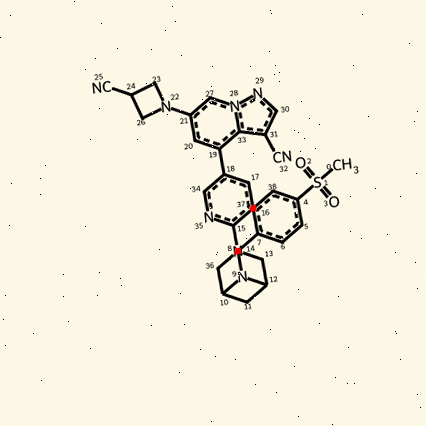 CS(=O)(=O)c1ccc(CN2C3CC2CN(c2ccc(-c4cc(N5CC(C#N)C5)cn5ncc(C#N)c45)cn2)C3)cc1